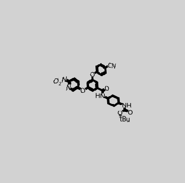 CC(C)(C)OC(=O)NC1CCC(NC(=O)c2cc(Oc3ccc(C#N)cc3)cc(Oc3ccc([N+](=O)[O-])nc3)c2)CC1